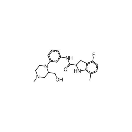 Cc1ccc(F)c2c1NC(C(=O)Nc1cccc(N3CCN(C)CC3CO)c1)C2